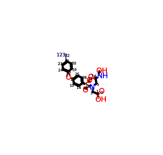 O=C(O)CN(CC(=O)NO)S(=O)(=O)c1ccc(Oc2ccc([123I])cc2)cc1